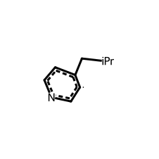 CC(C)Cc1[c]cncc1